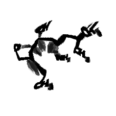 CC[C@H]1CO[C@@H]1[C@H](O)[C@@H](N)CC(C)C